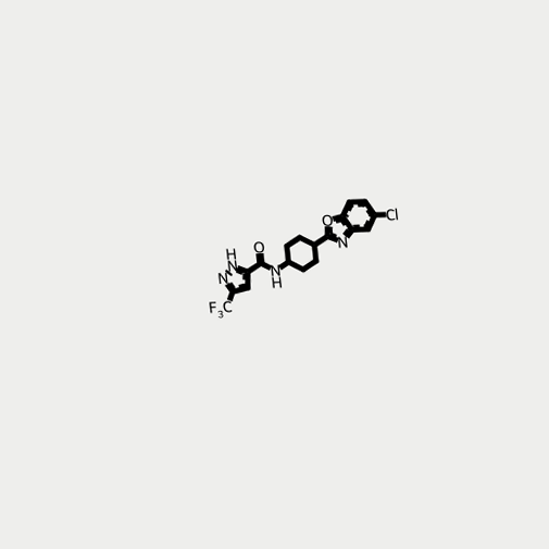 O=C(NC1CCC(c2nc3cc(Cl)ccc3o2)CC1)c1cc(C(F)(F)F)n[nH]1